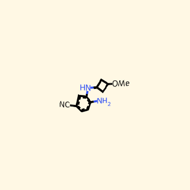 COC1CC(Nc2cc(C#N)ccc2N)C1